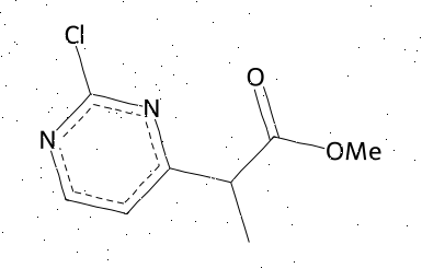 COC(=O)C(C)c1ccnc(Cl)n1